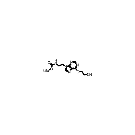 CC(C)(C)OC(=O)NCCn1cnc2c(OCCC#N)ncnc21